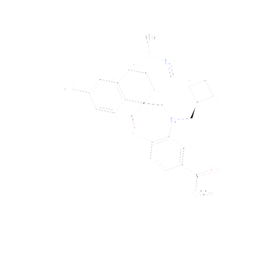 COC(=O)c1ccc2c(c1)N(C[C@@H]1CC[C@H]1/C=N/[S+]([O-])C(C)(C)C)CC1(CCCc3cc(Cl)ccc31)CO2